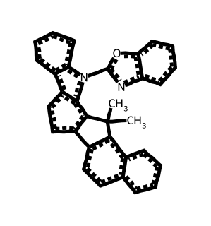 CC1(C)c2c(ccc3ccccc23)-c2ccc3c4ccccc4n(-c4nc5ccccc5o4)c3c21